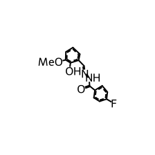 COc1cccc(C=NNC(=O)c2ccc(F)cc2)c1O